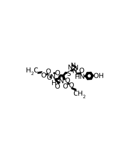 C=CCOC(=O)OC1=C(CSc2nnnn2CC(=O)Nc2ccc(O)cc2)C2OCN(OC(=O)OCC=C)[C@@H]3C(=O)N1[C@H]23